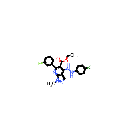 CCOC(=O)c1c(-c2cccc(F)c2)nc2c(cnn2C)c1NNc1ccc(Cl)cc1